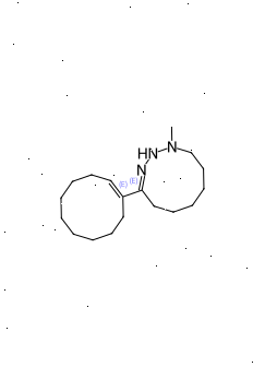 CN1CCCCCCC(/C2=C/CCCCCCCC2)=N\N1